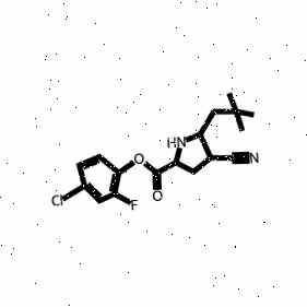 CC(C)(C)CC1NC(C(=O)Oc2ccc(Cl)cc2F)CC1C#N